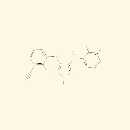 CN(c1cccc(Cl)c1Cl)c1n[s+]([O-])nc1Nc1cccc(C#N)c1O